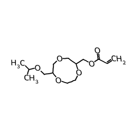 C=CC(=O)OCC1COCC(COC(C)C)OCCO1